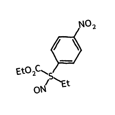 CCOC(=O)S(CC)(N=O)c1ccc([N+](=O)[O-])cc1